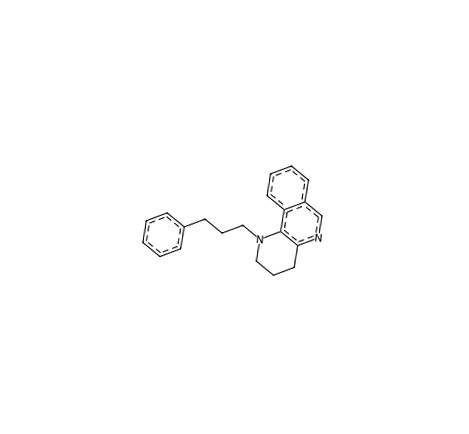 c1ccc(CCCN2CCCc3ncc4ccccc4c32)cc1